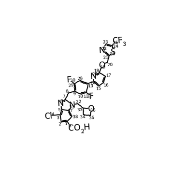 O=C(O)c1cc(Cl)c2nc(Cc3cc(F)c(-c4cccc(OCc5ncc(C(F)(F)F)s5)n4)cc3F)n(CC3CCO3)c2c1